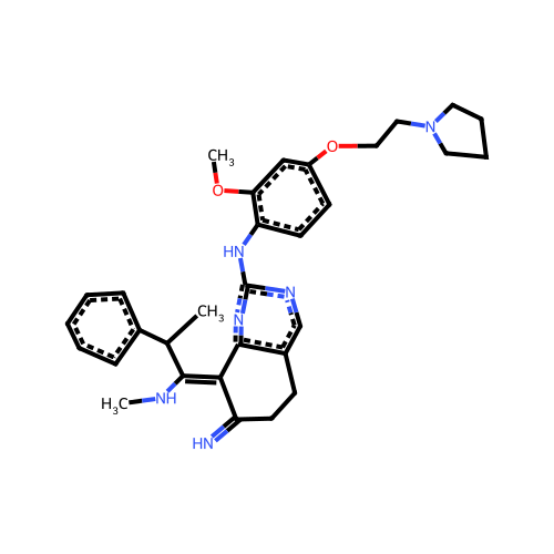 CN/C(=C1\C(=N)CCc2cnc(Nc3ccc(OCCN4CCCC4)cc3OC)nc21)C(C)c1ccccc1